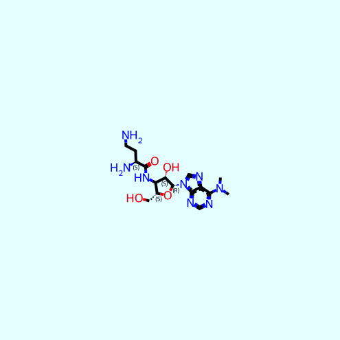 CN(C)c1ncnc2c1ncn2[C@@H]1O[C@H](CO)C(NC(=O)[C@@H](N)CCN)[C@@H]1O